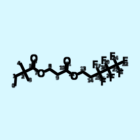 CCC(C)(C)C(=O)OCCC(=O)OCCC(F)(F)C(F)(F)C(F)(F)F